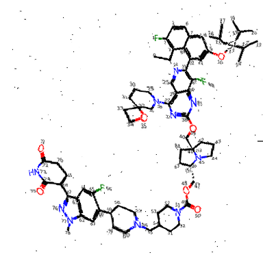 CCc1c(F)ccc2cc(O[Si](C(C)C)(C(C)C)C(C)C)cc(-c3ncc4c(N5CCC[C@@]6(CCO6)C5)nc(OC[C@@]56CCCN5[C@H](COC(=O)N5CCC(CN7CCC(c8cc9c(cc8F)c(C8CCC(=O)NC8=O)nn9C)CC7)CC5)CC6)nc4c3F)c12